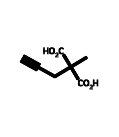 C#CCC(C)(C(=O)O)C(=O)O